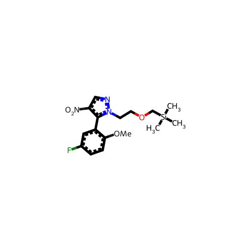 COc1ccc(F)cc1-c1c([N+](=O)[O-])cnn1CCOC[Si](C)(C)C